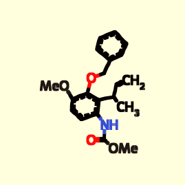 C=CC(C)c1c(NC(=O)OC)ccc(OC)c1OCc1ccccc1